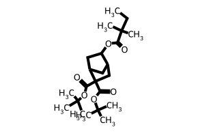 CCC(C)(C)C(=O)OC1CC2CC1CC2(C(=O)OC(C)(C)C)C(=O)OC(C)(C)C